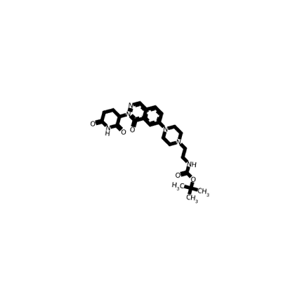 CC(C)(C)OC(=O)NCCN1CCN(c2ccc3cnn(C4CCC(=O)NC4=O)c(=O)c3c2)CC1